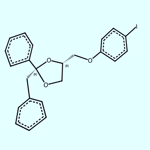 Ic1ccc(OC[C@@H]2CO[C@@](Cc3ccccc3)(c3ccccc3)O2)cc1